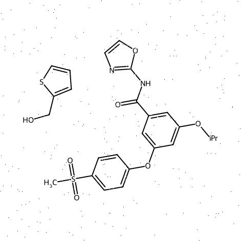 CC(C)Oc1cc(Oc2ccc(S(C)(=O)=O)cc2)cc(C(=O)Nc2ncco2)c1.OCc1cccs1